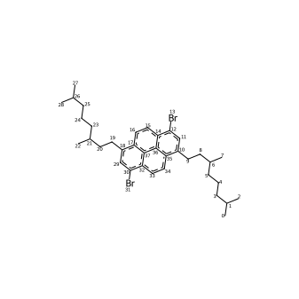 CC(C)CCCC(C)CCc1cc(Br)c2ccc3c(CCC(C)CCCC(C)C)cc(Br)c4ccc1c2c43